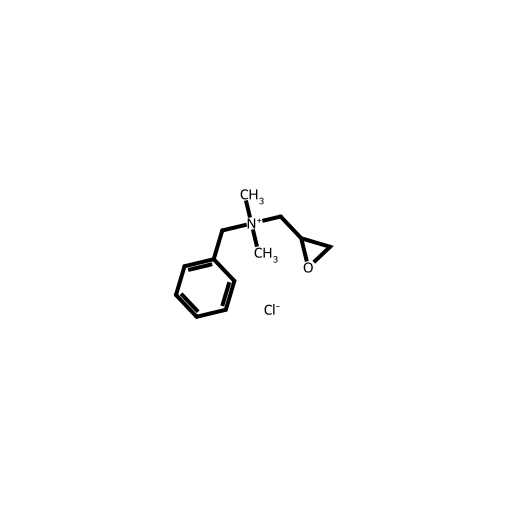 C[N+](C)(Cc1ccccc1)CC1CO1.[Cl-]